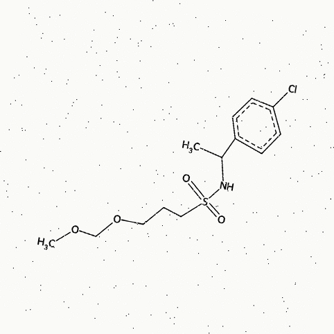 COCOCCCS(=O)(=O)NC(C)c1ccc(Cl)cc1